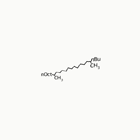 CCCCCCCCC(C)CCCCCCCCCCCC(C)CCCC